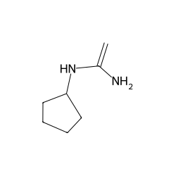 C=C(N)NC1CCCC1